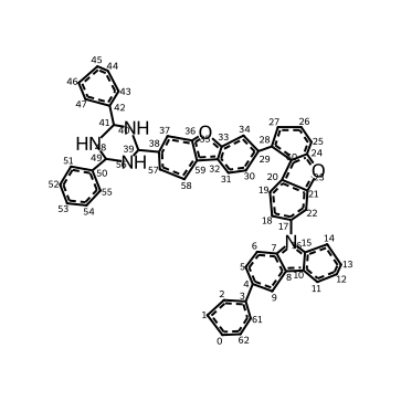 c1ccc(-c2ccc3c(c2)c2ccccc2n3-c2ccc3c(c2)oc2cccc(-c4ccc5c(c4)oc4cc(C6NC(c7ccccc7)NC(c7ccccc7)N6)ccc45)c23)cc1